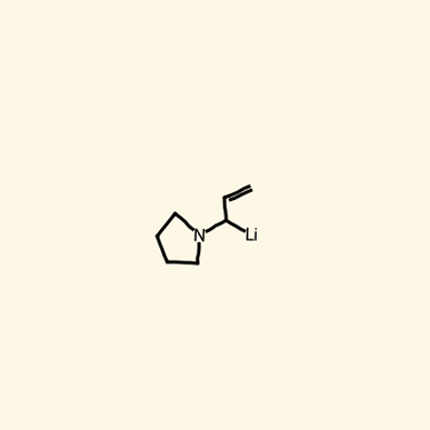 [Li][CH](C=C)N1CCCC1